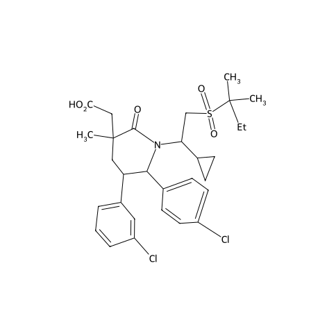 CCC(C)(C)S(=O)(=O)CC(C1CC1)N1C(=O)C(C)(CC(=O)O)CC(c2cccc(Cl)c2)C1c1ccc(Cl)cc1